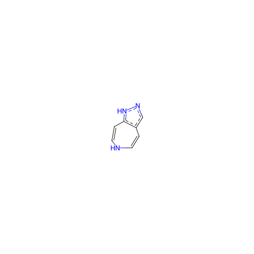 C1=Cc2cn[nH]c2C=CN1